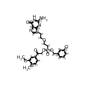 COc1cc(C(=O)COP(=O)(CCOCCn2cnc3c(=O)[nH]c(N)nc32)OCc2cccc(Cl)c2)ccc1C